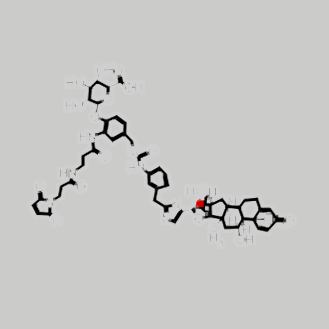 C[C@]12C=CC(=O)C=C1CC[C@@H]1[C@@H]2[C@@H](O)C[C@@]2(C)[C@H]1C[C@H]1O[C@@H](c3cnc(Cc4cccc(NC(=O)OCc5ccc(O[C@@H]6O[C@H](C(=O)O)[C@@H](O)[C@H](O)[C@H]6O)c(NC(=O)CCNC(=O)CCN6C(=O)C=CC6=O)c5)c4)s3)O[C@]12C(=O)CO